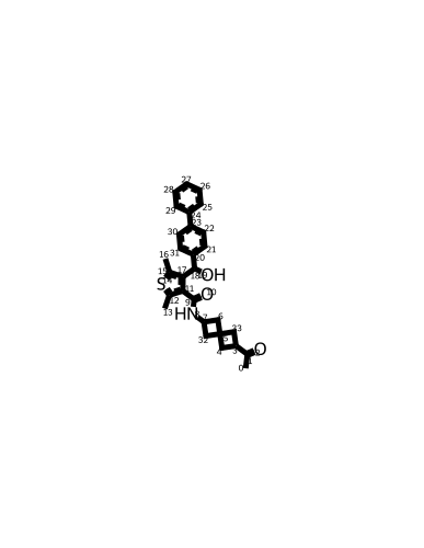 CC(=O)C1CC2(CC(NC(=O)c3c(C)sc(C)c3C(O)c3ccc(-c4ccccc4)cc3)C2)C1